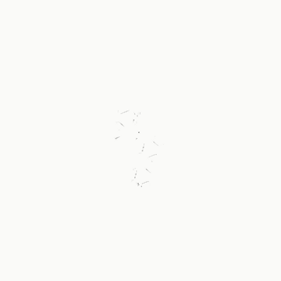 Cc1c(COc2ncccc2C=O)cccc1-c1ccncc1